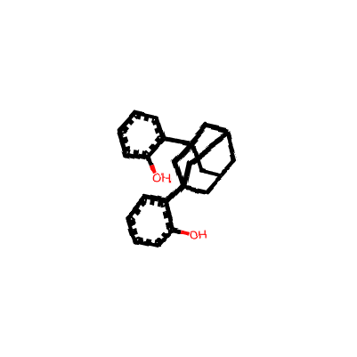 Oc1ccccc1C12CC3CC(C1)CC(c1ccccc1O)(C3)C2